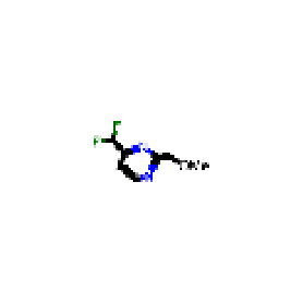 COCc1nc[c]c(C(F)F)n1